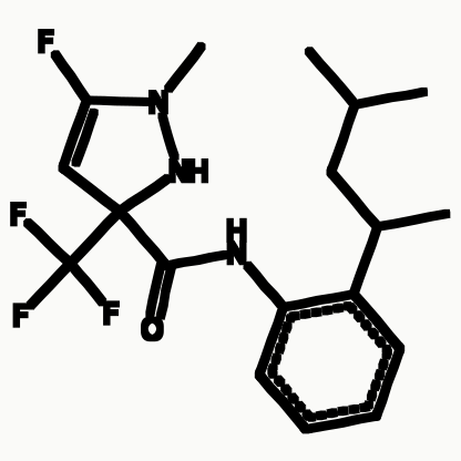 CC(C)CC(C)c1ccccc1NC(=O)C1(C(F)(F)F)C=C(F)N(C)N1